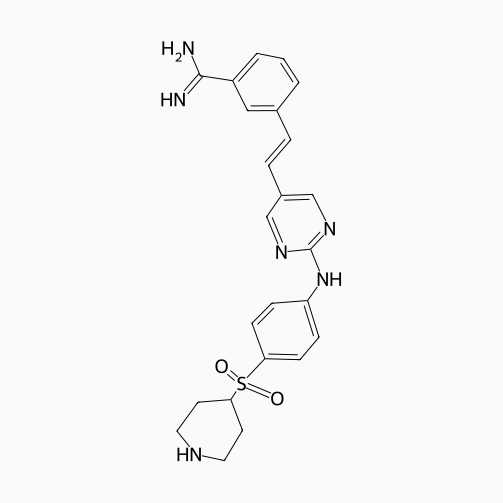 N=C(N)c1cccc(/C=C/c2cnc(Nc3ccc(S(=O)(=O)C4CCNCC4)cc3)nc2)c1